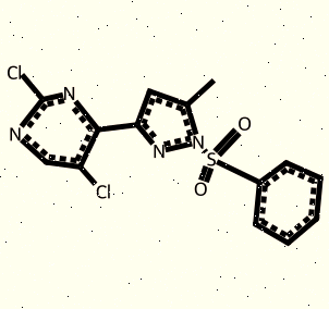 Cc1cc(-c2nc(Cl)ncc2Cl)nn1S(=O)(=O)c1ccccc1